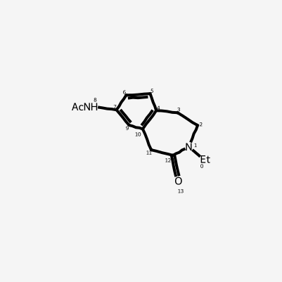 CCN1CCc2ccc(NC(C)=O)cc2CC1=O